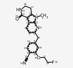 Cn1c2c(c3ccc(Cc4ccc(C#N)c(OCCF)c4)nc31)C(=O)NCC2